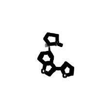 CN1CCC[C@H]1c1ccc2occ(-c3ccco3)c2c1